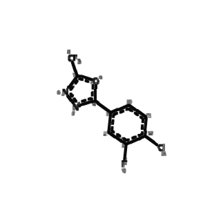 Fc1cc(-c2nnc(C(F)(F)F)o2)ccc1Cl